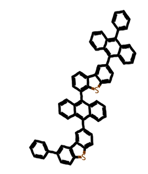 c1ccc(-c2ccc3sc4ccc(-c5c6ccccc6c(-c6cccc7c6sc6ccc(-c8c9ccccc9c(-c9ccccc9)c9ccccc89)cc67)c6ccccc56)cc4c3c2)cc1